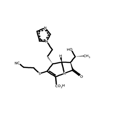 C[C@@H](O)[C@H]1C(=O)N2C(C(=O)O)=C(SCCC#N)[C@H](CCn3ccnc3)[C@H]12